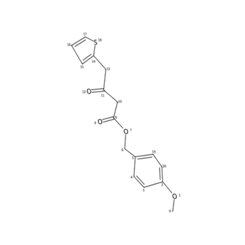 COc1ccc(COC(=O)CC(=O)Cc2cccs2)cc1